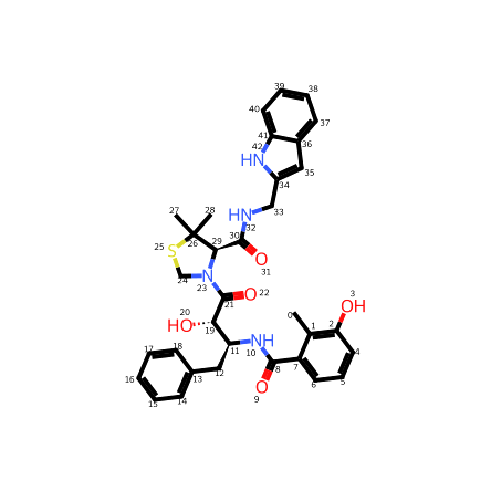 Cc1c(O)cccc1C(=O)N[C@@H](Cc1ccccc1)[C@H](O)C(=O)N1CSC(C)(C)[C@H]1C(=O)NCc1cc2ccccc2[nH]1